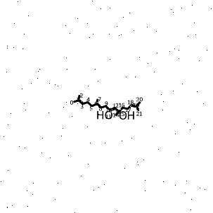 CC(C)=CCC/C(C)=C/CC(O)=CC(C)(O)CCC=C(C)C